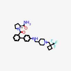 NC(=O)[C@@H]1CCCN1C(=O)c1ccccc1-c1ccc(NCC2CCN(CC3(C(F)(F)F)CCC3)CC2)cc1